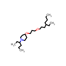 CCCCC(CC)CCCOCCCOC1CCN(C(CC)CCC)CC1